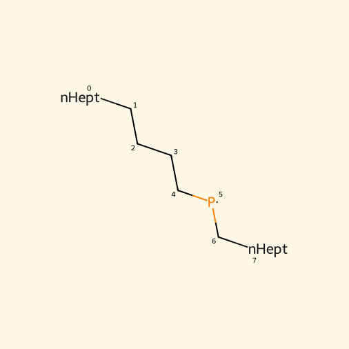 CCCCCCCCCCC[P]CCCCCCCC